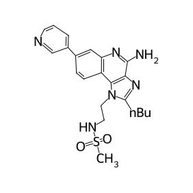 CCCCc1nc2c(N)nc3cc(-c4cccnc4)ccc3c2n1CCNS(C)(=O)=O